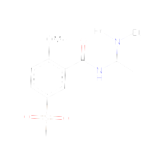 CCN(CC)C(C)NC(=O)c1cc(S(C)(=O)=O)ccc1OC